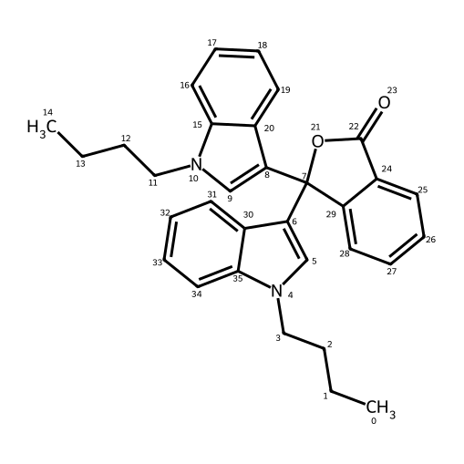 CCCCn1cc(C2(c3cn(CCCC)c4ccccc34)OC(=O)c3ccccc32)c2ccccc21